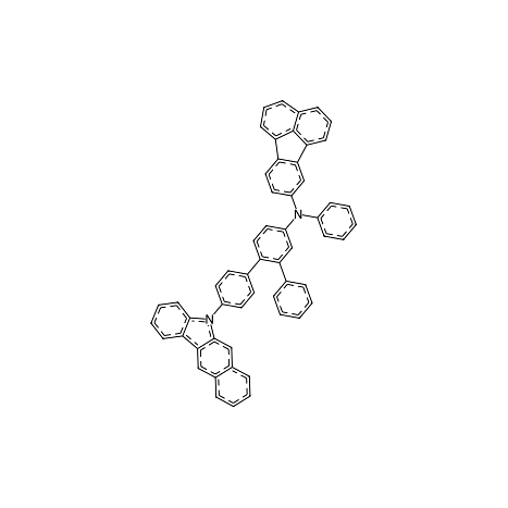 c1ccc(-c2cc(N(c3ccccc3)c3ccc4c(c3)-c3cccc5cccc-4c35)ccc2-c2ccc(-n3c4ccccc4c4cc5ccccc5cc43)cc2)cc1